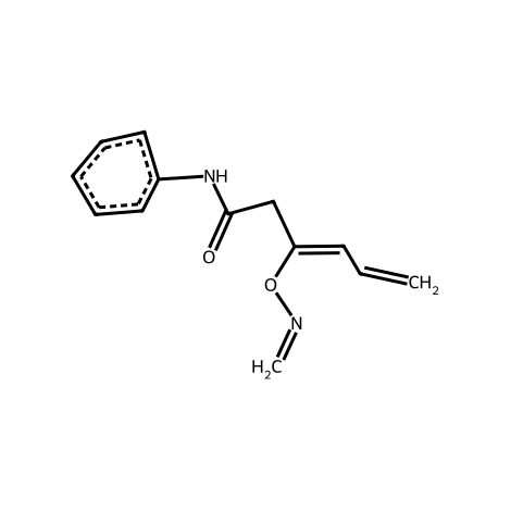 C=C/C=C(/CC(=O)Nc1ccccc1)ON=C